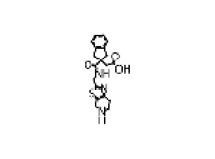 O=C(O)CC1(C(=O)NCc2nc3c(s2)CNCC3)Cc2ccccc2C1